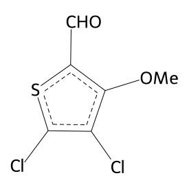 COc1c(C=O)sc(Cl)c1Cl